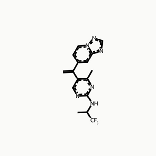 C=C(c1ccn2ncnc2c1)c1cnc(NC(C)C(F)(F)F)nc1C